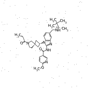 C=CC(=O)N1CC[C@]2(C1)C[C@H](n1c(NC(=O)c3ccc(OC)nc3)nc3cc(CN[C@@H](C)C(C)(C)C)ccc31)C2